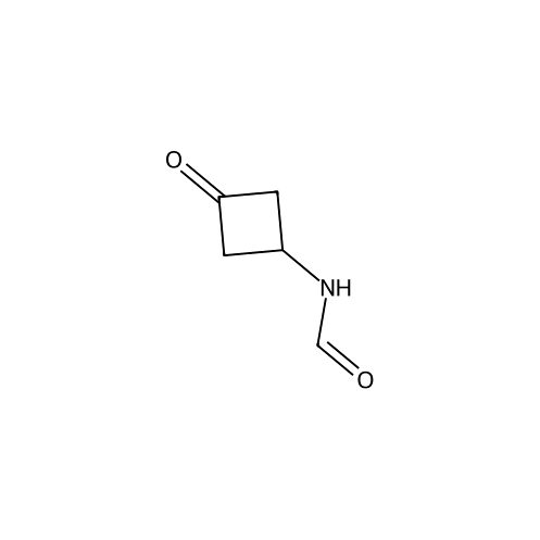 O=CNC1CC(=O)C1